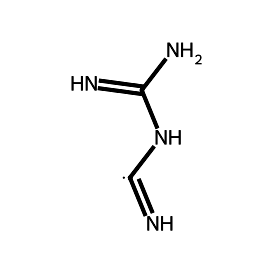 N=[C]NC(=N)N